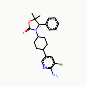 CC1(C)OC(=O)N(C2CCC(c3cnc(N)c(Br)c3)CC2)[C@@H]1c1ccccc1